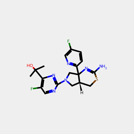 CC(C)(O)c1nc(N2C[C@H]3CSC(N)=NC3(c3ccc(F)cn3)C2)ncc1F